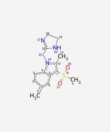 Cc1ccc2c(c1)c(S(C)(=O)=O)c(C)n2CC1=NCCN1